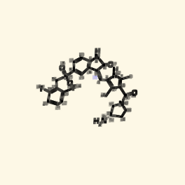 Cc1[nH]c(/C=C2\C(=O)Nc3ccc(S(=O)(=O)Cc4c(F)cccc4F)cc32)c(C)c1C(=O)N1CC[C@H](N)C1